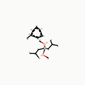 CO[Si](CC(C)C)(CC(C)C)OC.Cc1ccccc1